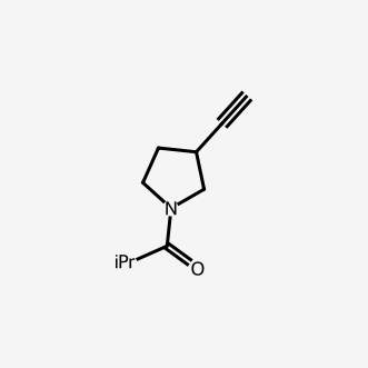 C#CC1CCN(C(=O)C(C)C)C1